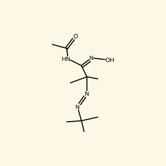 CC(=O)NC(=NO)C(C)(C)N=NC(C)(C)C